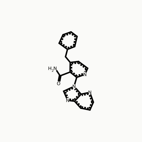 NC(=O)c1c(Cc2ccccc2)ccnc1-n1cnc2cccnc21